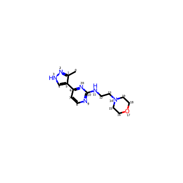 Cc1n[nH]cc1-c1ccnc(NCCN2CCOCC2)n1